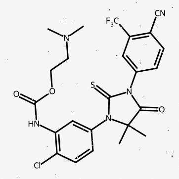 CN(C)CCOC(=O)Nc1cc(N2C(=S)N(c3ccc(C#N)c(C(F)(F)F)c3)C(=O)C2(C)C)ccc1Cl